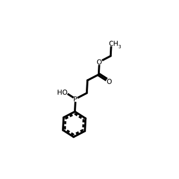 CCOC(=O)CCP(O)c1ccccc1